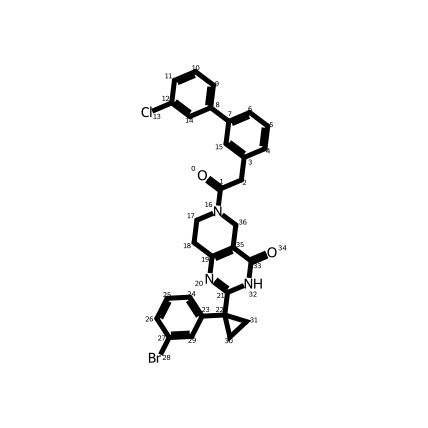 O=C(Cc1cccc(-c2cccc(Cl)c2)c1)N1CCc2nc(C3(c4cccc(Br)c4)CC3)[nH]c(=O)c2C1